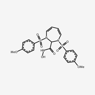 COc1ccc(S(=O)(=O)N2C=CC=CN(S(=O)(=O)c3ccc(OC)cc3)C2C(=O)NO)cc1